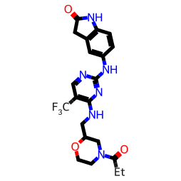 CCC(=O)N1CCOC(CNc2nc(Nc3ccc4c(c3)CC(=O)N4)ncc2C(F)(F)F)C1